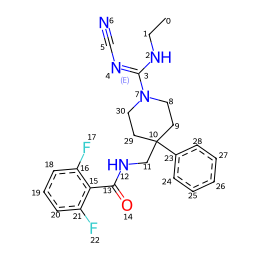 CCN/C(=N\C#N)N1CCC(CNC(=O)c2c(F)cccc2F)(c2ccccc2)CC1